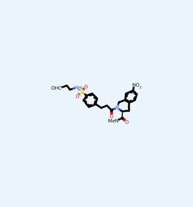 CNC(=O)[C@@H]1Cc2ccc([N+](=O)[O-])cc2CN1C(=O)CCc1ccc(S(=O)(=O)NCCC=O)cc1